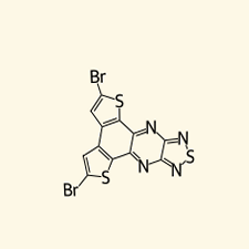 Brc1cc2c3cc(Br)sc3c3nc4nsnc4nc3c2s1